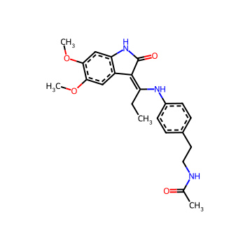 CC/C(Nc1ccc(CCNC(C)=O)cc1)=C1/C(=O)Nc2cc(OC)c(OC)cc21